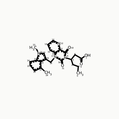 CCCC(CC(=O)O)n1c(=O)c2ncccc2n(Cc2cn(C)c3cccc(C)c23)c1=O